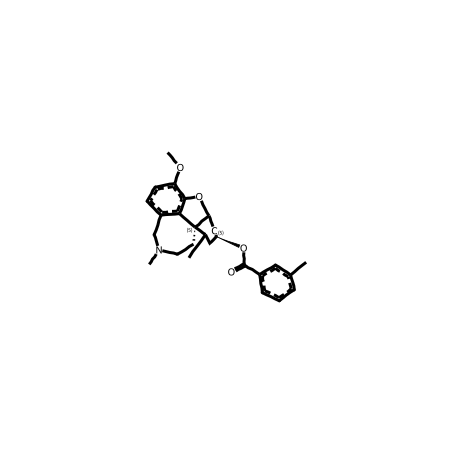 COc1ccc2c3c1OC1C[C@@H](OC(=O)c4cccc(C)c4)CC(C)[C@@]31CCN(C)C2